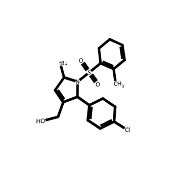 CC1=C(S(=O)(=O)N2C(C3=CC=C(Cl)CC3)C(CO)=CC2C(C)(C)C)CCC=C1